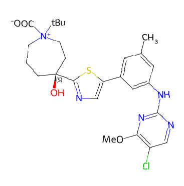 COc1nc(Nc2cc(C)cc(-c3cnc([C@]4(O)CCC[N+](C(=O)[O-])(C(C)(C)C)CC4)s3)c2)ncc1Cl